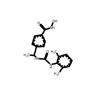 Cc1cccc(C)c1NC(=O)NC(C)c1ccc(C(=O)NO)cc1